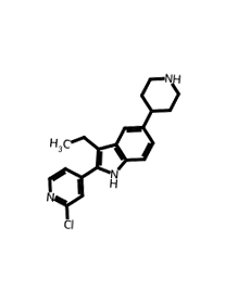 CCc1c(-c2ccnc(Cl)c2)[nH]c2ccc(C3CCNCC3)cc12